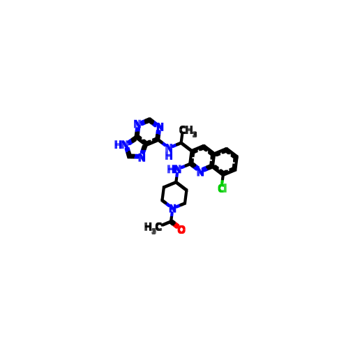 CC(=O)N1CCC(Nc2nc3c(Cl)cccc3cc2C(C)Nc2ncnc3[nH]cnc23)CC1